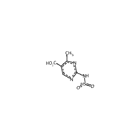 Cc1nc(N[SH](=O)=O)ncc1C(=O)O